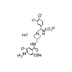 COc1cc(N)c(Cl)cc1C(=O)NCC1CCN(CC(NC(=O)O)c2ccc(Cl)c(Cl)c2)CC1.Cl